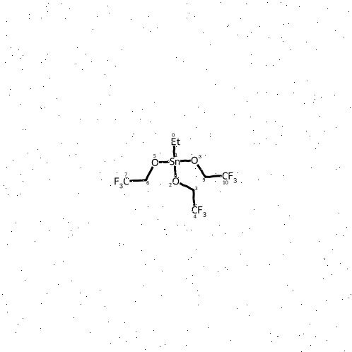 C[CH2][Sn]([O]CC(F)(F)F)([O]CC(F)(F)F)[O]CC(F)(F)F